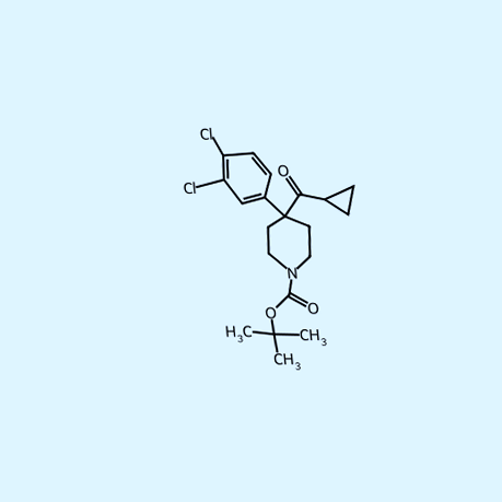 CC(C)(C)OC(=O)N1CCC(C(=O)C2CC2)(c2ccc(Cl)c(Cl)c2)CC1